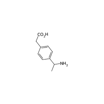 CC(N)c1ccc(CC(=O)O)cc1